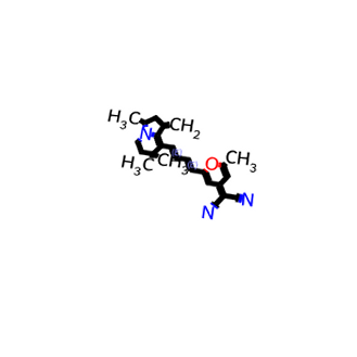 C=C1CC(C)N2CCC(C)(C)C(/C=C/C=C/C3=CC(=C(C#N)C#N)C=C(C)O3)=C12